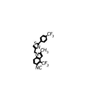 [C-]#[N+]c1ccc2c(cc(C)n2Cc2csc(-c3ccc(C(F)(F)F)cc3)n2)c1C(F)(F)F